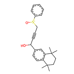 CC1(C)CCC(C)(C)c2cc(C(O)C#CC[S+]([O-])c3ccccc3)ccc21